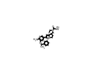 CCNC(=O)N1CC[C@@]2(CCn3nc(-c4cnc(N)c(O[C@H](C)c5ccccc5)c4)cc32)C1